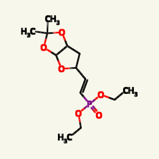 CCOP(=O)(/C=C/C1CC2OC(C)(C)OC2O1)OCC